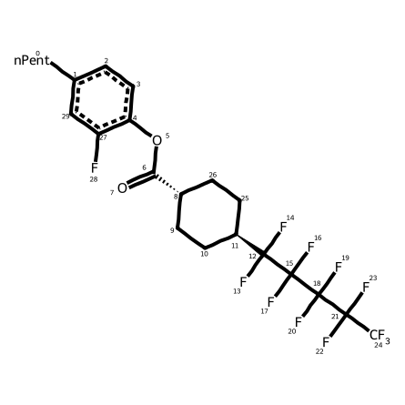 CCCCCc1ccc(OC(=O)[C@H]2CC[C@H](C(F)(F)C(F)(F)C(F)(F)C(F)(F)C(F)(F)F)CC2)c(F)c1